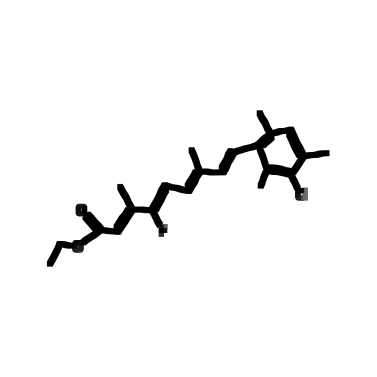 CCOC(=O)/C=C(C)/C(F)=C/C=C(C)/C=C/c1c(C)cc(C)c(Cl)c1C